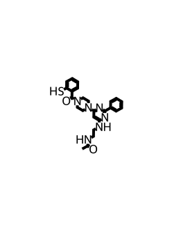 CC(=O)NCCNc1cc(N2CCN(C(=O)c3ccccc3S)CC2)nc(-c2ccccc2)n1